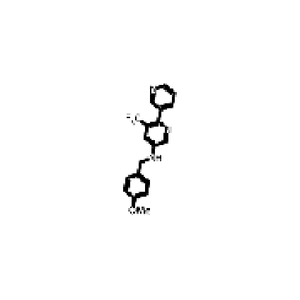 COc1ccc(CNc2cnc(-c3cccnc3)c(C(F)(F)F)c2)cc1